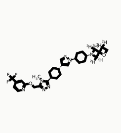 [2H]C1([2H])COC12C([2H])([2H])N([C@H]1CC[C@H](n3cc([C@H]4CC[C@H](c5nnc(COc6cc(C(F)(F)F)ccn6)n5C)CC4)cn3)CC1)C2([2H])[2H]